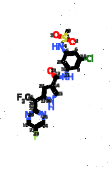 CS(=O)(=O)Nc1cc(Cl)cc(NC(=O)c2c[nH]c(C(c3ncc(F)cn3)C(F)(F)F)c2)c1